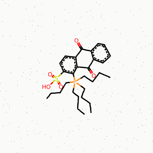 CCCCP(CCCC)(CCCC)(CCCC)c1c(S(=O)(=O)O)ccc2c1C(=O)c1ccccc1C2=O